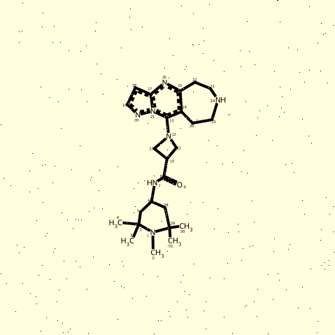 CN1C(C)(C)CC(NC(=O)C2CN(c3c4c(nc5ccnn35)CCNCC4)C2)CC1(C)C